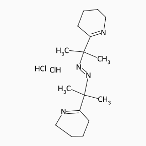 CC(C)(N=NC(C)(C)C1=NCCCC1)C1=NCCCC1.Cl.Cl